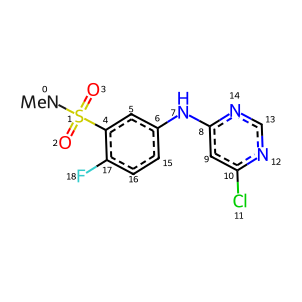 CNS(=O)(=O)c1cc(Nc2cc(Cl)ncn2)ccc1F